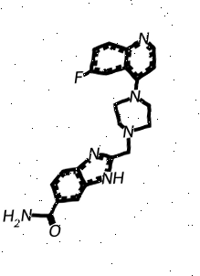 NC(=O)c1ccc2nc(CN3CCN(c4ccnc5ccc(F)cc45)CC3)[nH]c2c1